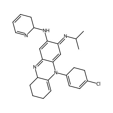 CC(C)/N=C1\C=C2C(=NC3CCCC=C3N2C2=CC=C(Cl)CC2)C=C1NC1CC=CC=N1